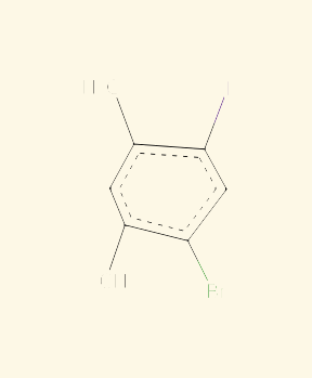 Cc1cc(C)c(I)cc1Br